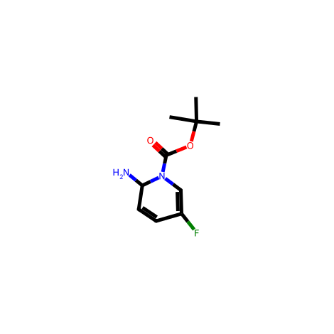 CC(C)(C)OC(=O)N1C=C(F)C=CC1N